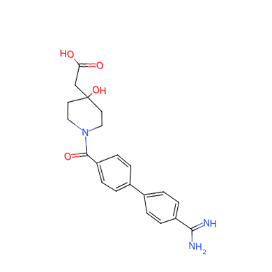 N=C(N)c1ccc(-c2ccc(C(=O)N3CCC(O)(CC(=O)O)CC3)cc2)cc1